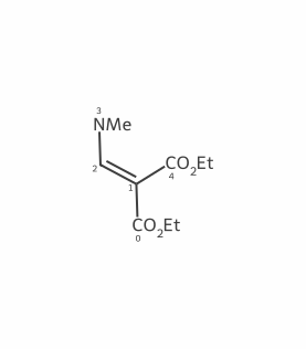 CCOC(=O)C(=CNC)C(=O)OCC